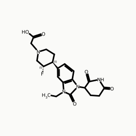 CCn1c(=O)n(C2CCC(=O)NC2=O)c2ccc([C@@H]3CCN(CC(=O)O)C[C@H]3F)cc21